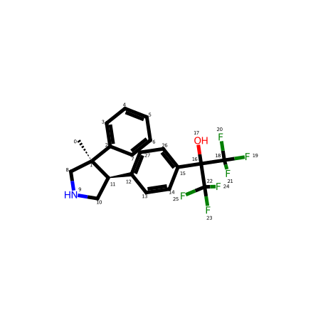 C[C@@]1(c2ccccc2)CNC[C@@H]1c1ccc(C(O)(C(F)(F)F)C(F)(F)F)cc1